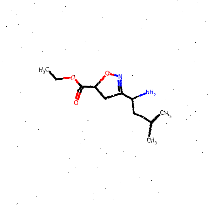 CCOC(=O)C1CC(C(N)CC(C)C)=NO1